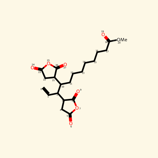 C=CC(C1CC(=O)OC1=O)C(CCCCCCCC(=O)OC)C1CC(=O)OC1=O